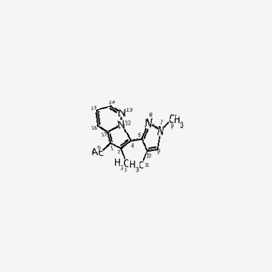 CC(=O)c1c(C)c(-c2nn(C)cc2C)n2ncccc12